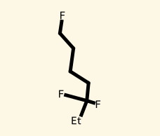 CCC(F)(F)CCCCF